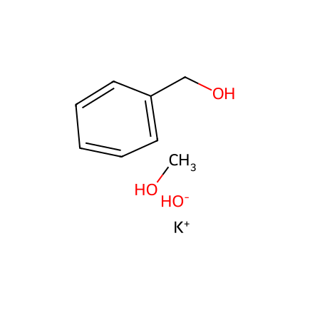 CO.OCc1ccccc1.[K+].[OH-]